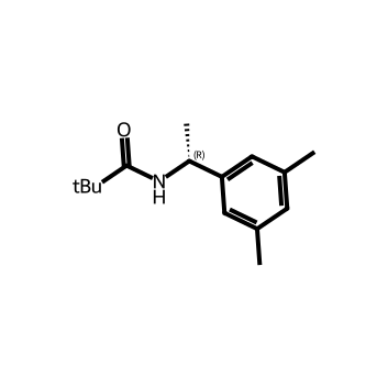 Cc1cc(C)cc([C@@H](C)NC(=O)C(C)(C)C)c1